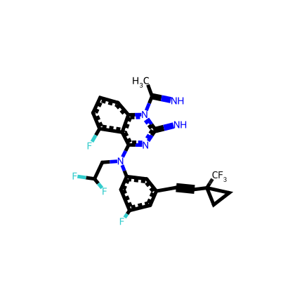 CC(=N)n1c(=N)nc(N(CC(F)F)c2cc(F)cc(C#CC3(C(F)(F)F)CC3)c2)c2c(F)cccc21